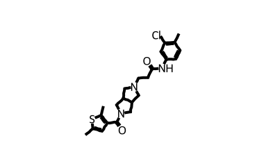 Cc1cc(C(=O)N2CC3CN(CCC(=O)Nc4ccc(C)c(Cl)c4)CC3C2)c(C)s1